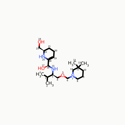 CC(C)[C@H](COCN1CCCC(C)(C)C1)N[C@@H](O)C1=CCC[C@H](CO)N1